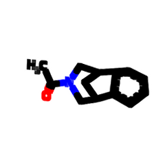 CC(=O)N1CC2CC(C1)c1ccccc12